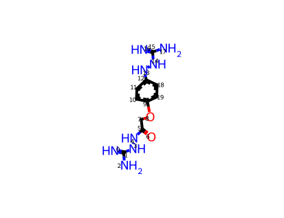 N=C(N)NNC(=O)COc1ccc(NNC(=N)N)cc1